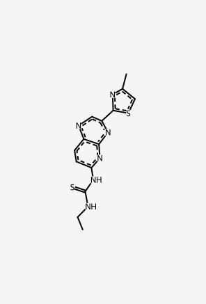 CCNC(=S)Nc1ccc2ncc(-c3nc(C)cs3)nc2n1